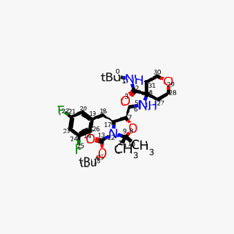 CC(C)(C)NC(=O)C1(NC[C@H]2OC(C)(C)N(C(=O)OC(C)(C)C)[C@H]2Cc2cc(F)cc(F)c2)CCOCC1